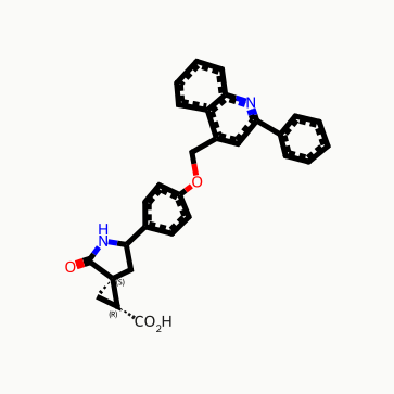 O=C(O)[C@@H]1C[C@]12CC(c1ccc(OCc3cc(-c4ccccc4)nc4ccccc34)cc1)NC2=O